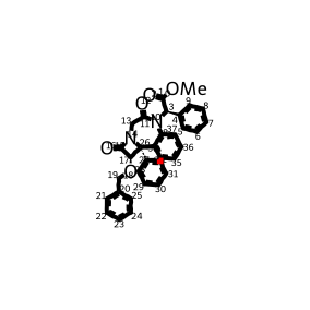 COC(=O)[C@@H](c1ccccc1)N1C(=O)CN2C(=O)[C@@H](OCc3ccccc3)[C@]2(c2ccccc2)c2ccccc21